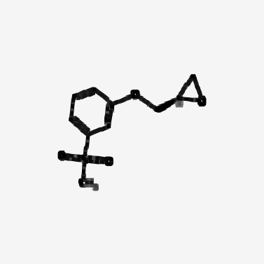 CS(=O)(=O)c1cccc(OC[C@H]2CO2)c1